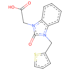 O=C(O)Cn1c(=O)n(Cc2cccs2)c2ccccc21